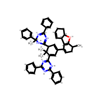 CC1CC=C(C2=CC(C3=NC(c4ccccc4)=NC(C)(c4ccccc4)N3)C(C)(C)C(c3nc(-c4ccccc4)nc(-c4ccccc4)n3)=C2)C2=C1OC1CCC=CC21